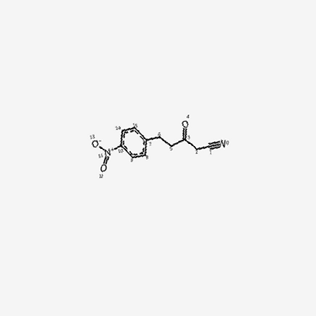 N#CCC(=O)[CH]Cc1ccc([N+](=O)[O-])cc1